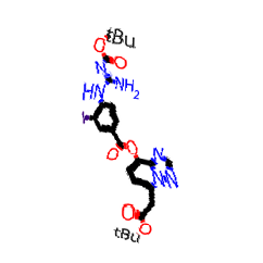 CC(C)(C)OC(=O)Cc1ccc(OC(=O)c2ccc(N/C(N)=N/C(=O)OC(C)(C)C)c(I)c2)c2ncnn12